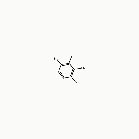 Cc1ccc(Br)c(C)c1C#N